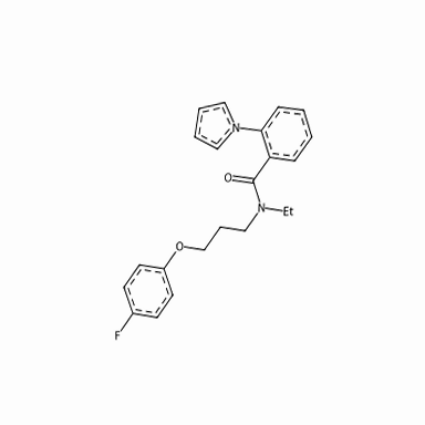 CCN(CCCOc1ccc(F)cc1)C(=O)c1ccccc1-n1cccc1